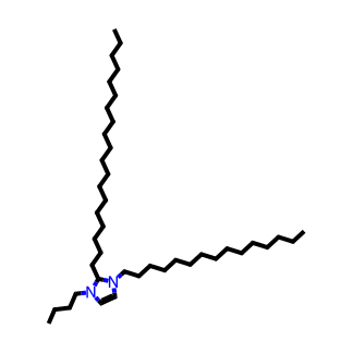 CCCCCCCCCCCCCCCCCCCC1N(CCCC)C=CN1CCCCCCCCCCCCCCC